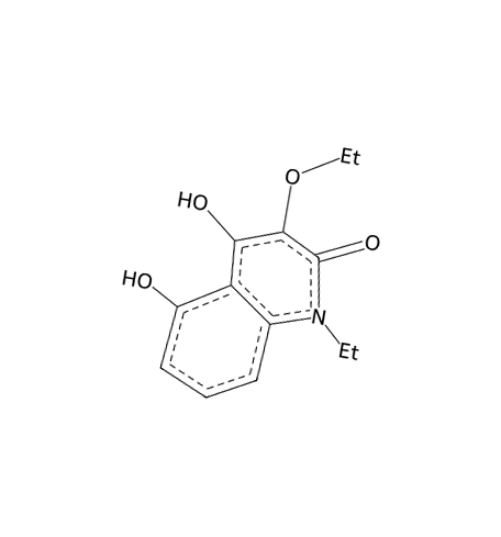 CCOc1c(O)c2c(O)cccc2n(CC)c1=O